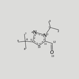 CC(C)n1nc(C(C)(C)C)cc1C=O